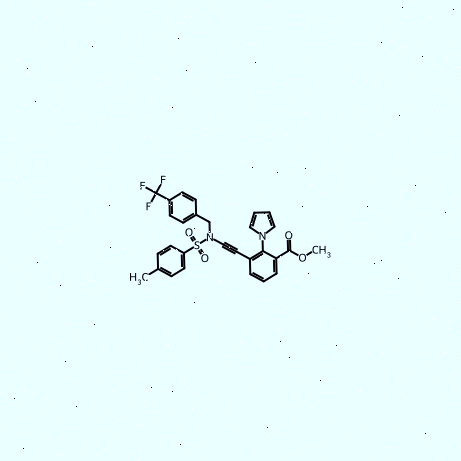 COC(=O)c1cccc(C#CN(Cc2ccc(C(F)(F)F)cc2)S(=O)(=O)c2ccc(C)cc2)c1-n1cccc1